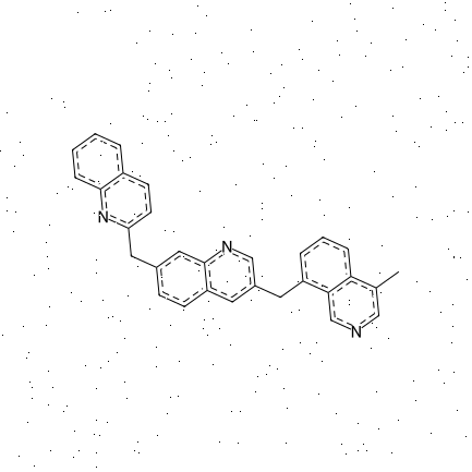 Cc1cncc2c(Cc3cnc4cc(Cc5ccc6ccccc6n5)ccc4c3)cccc12